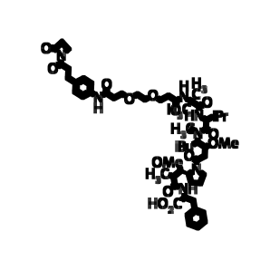 CCC(C)C(C(CC(=O)N1CCC[C@H]1C(OC)C(C)C(=O)NC(Cc1ccccc1)C(=O)O)OC)N(C)C(=O)C(NC(=O)C(C)(C)NC(=O)CCOCCOCCC(=O)Nc1ccc(CCC(=O)N2CCC2=O)cc1)C(C)C